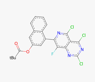 CC(C)(C)C(=O)Oc1cc(-c2nc(Cl)c3c(Cl)nc(Cl)nc3c2F)c2ccccc2c1